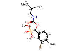 CCOP(=O)(OCC)C(OC(=O)NCC(OC)OC)c1ccc(OC)c(Br)c1